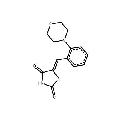 O=C1NC(=O)C(=Cc2ccccc2N2CCOCC2)S1